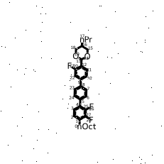 CCCCCCCCc1ccc(-c2ccc(-c3ccc(C4OCC(CCC)CO4)c(F)c3)cc2)c(F)c1F